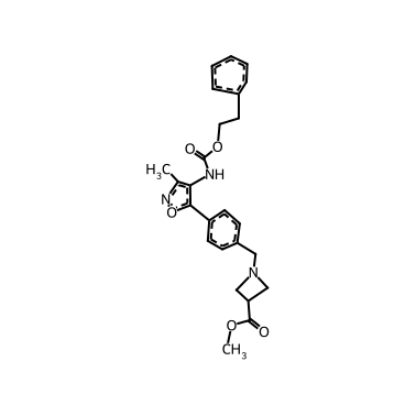 COC(=O)C1CN(Cc2ccc(-c3onc(C)c3NC(=O)OCCc3ccccc3)cc2)C1